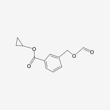 O=COCc1cccc(C(=O)OC2CC2)c1